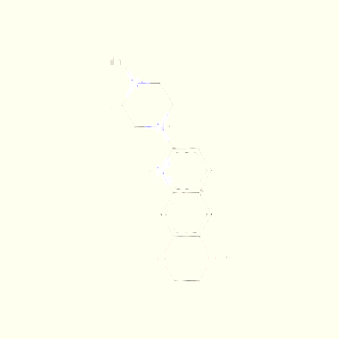 CC(C)N1CCN(c2ccc3cc4c(cc3n2)OCCO4)CC1